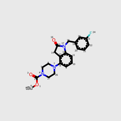 CC(C)(C)OC(=O)N1CCN(c2cccc3c2CC(=O)N3Cc2cccc(F)c2)CC1